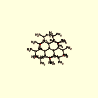 N=PP(P(P)P)P(P(P(P)P)P(P)P)P(P(P(P(P)P)P(P)P)P(P(P)P)P(P)P)P(P(P(P)P)P(P)P)P(P(P)P)P(P)P